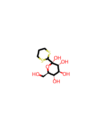 OC[C@H]1O[C@@](O)(C2SCCCS2)[C@H](O)[C@@H](O)[C@@H]1O